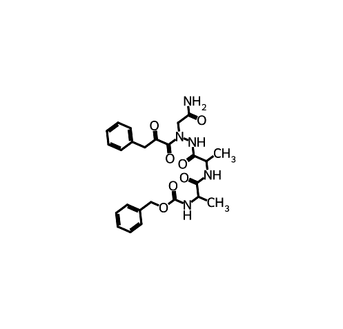 CC(NC(=O)OCc1ccccc1)C(=O)NC(C)C(=O)NN(CC(N)=O)C(=O)C(=O)Cc1ccccc1